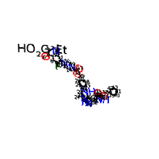 CCN1C=C(C(=O)O)C(=O)C2C=C(F)C(N3CCN(C(=O)OCc4ccc(NC[C@H](C)n5cc([C@@](C)(NC(=O)OCc6ccccc6)C(C)C)nn5)cc4)CC3)=CC21